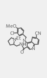 CCN1CCCC1CNC(=O)c1cnc2ccc(C#N)cc2c1NCc1ccc(OC)c(Cl)c1